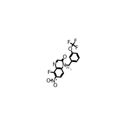 C[C@@H](c1cccc(OC(F)(F)F)c1)n1c(=O)cnc2c(F)c([N+](=O)[O-])ccc21